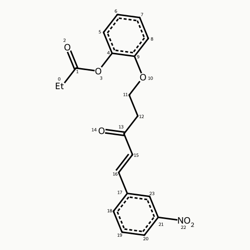 CCC(=O)Oc1ccccc1OCCC(=O)/C=C/c1cccc([N+](=O)[O-])c1